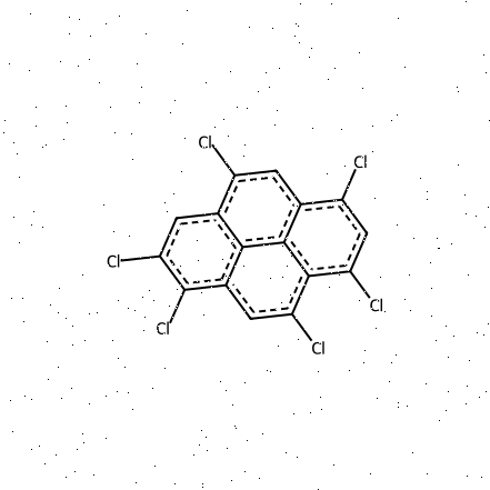 Clc1cc2c(Cl)cc3c(Cl)cc(Cl)c4c(Cl)cc(c1Cl)c2c34